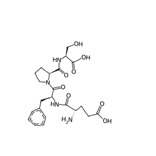 N[C@@H](CCC(=O)O)C(=O)N[C@@H](Cc1ccccc1)C(=O)N1CCC[C@H]1C(=O)N[C@@H](CO)C(=O)O